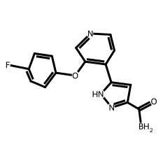 BC(=O)c1cc(-c2ccncc2Oc2ccc(F)cc2)[nH]n1